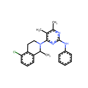 Cc1nc(Nc2ccccc2)nc(N2CCc3c(Cl)cccc3C2C)c1C